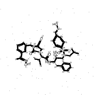 CC(=NO)c1cccc(CN2C(=O)CN([C@H](C(=O)N[C@@H](Cc3ccccc3)[C@H](O)CN(CC(C)C)S(=O)(=O)c3ccc(C=NO)cc3)C(C)C)C2=O)c1